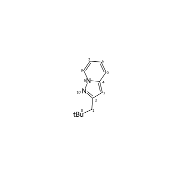 CC(C)(C)Cc1cc2ccccn2n1